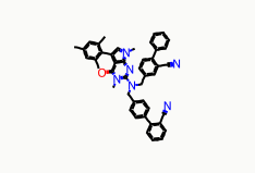 Cc1cc(C)c(-c2cn(C)c3nc(N(Cc4ccc(-c5ccccc5C#N)cc4)Cc4ccc(-c5ccccc5)c(C#N)c4)n(C)c(=O)c23)c(C)c1